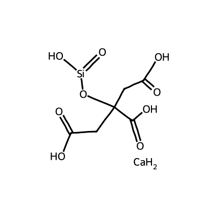 O=C(O)CC(CC(=O)O)(O[Si](=O)O)C(=O)O.[CaH2]